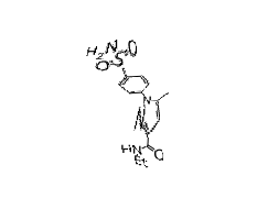 CCNC(=O)c1cc(C)n(-c2ccc(S(N)(=O)=O)cc2)n1